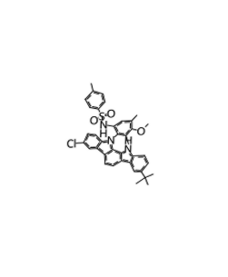 COc1c(C)cc(NS(=O)(=O)c2ccc(C)cc2)c(-n2c3ccc(Cl)cc3c3ccc4c5cc(C(C)(C)C)ccc5[nH]c4c32)c1C